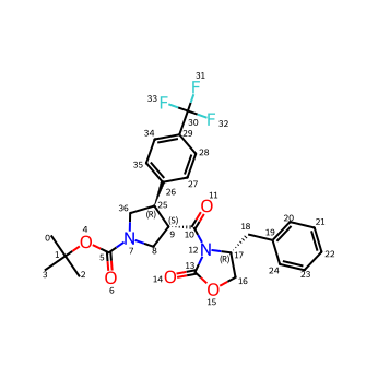 CC(C)(C)OC(=O)N1C[C@@H](C(=O)N2C(=O)OC[C@H]2Cc2ccccc2)[C@H](c2ccc(C(F)(F)F)cc2)C1